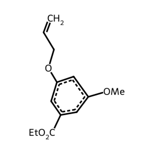 C=CCOc1cc(OC)cc(C(=O)OCC)c1